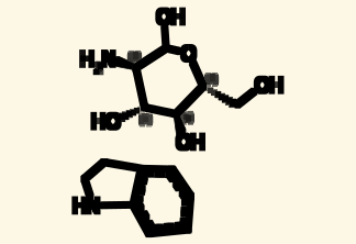 N[C@H]1C(O)O[C@H](CO)[C@@H](O)[C@@H]1O.c1ccc2c(c1)CCN2